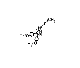 CCCCCCC=Nc1nnc(-c2ccc(OC)cc2)c(-c2ccc(OC)cc2)n1